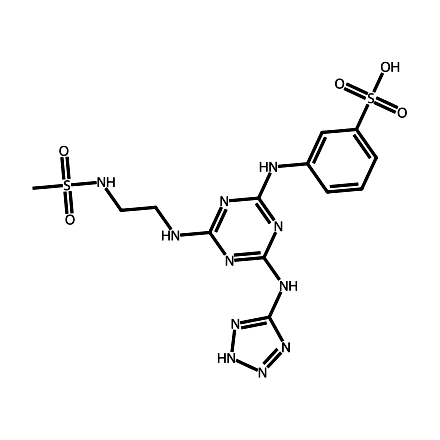 CS(=O)(=O)NCCNc1nc(Nc2cccc(S(=O)(=O)O)c2)nc(Nc2nn[nH]n2)n1